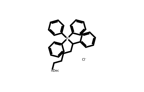 CCCCCCCCCCCCCCC(c1ccccc1)[P+](c1ccccc1)(c1ccccc1)c1ccccc1.[Cl-]